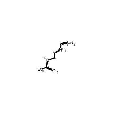 C=CNCCOC(=O)CC